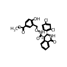 COC(=O)c1ccc(O)c(CONC(=O)[C@@H]2c3ccccc3C(=O)N[C@H]2c2ccc(Cl)cc2Cl)c1